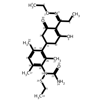 CCO/N=C(/CC)C1=C(O)CC(c2c(C)cc(C)c(N(SCC)C(N)=O)c2C)CC1=O